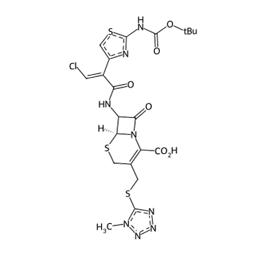 Cn1nnnc1SCC1=C(C(=O)O)N2C(=O)C(NC(=O)C(=CCl)c3csc(NC(=O)OC(C)(C)C)n3)[C@@H]2SC1